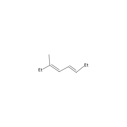 CCC=CC=C(C)CC